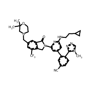 Cn1cnnc1-c1ccc(C#N)cc1-c1cc(NCCC2CC2)nc(N2Cc3c(cc(CN4CCOC(C)(C)C4)cc3C(F)(F)F)C2=O)c1